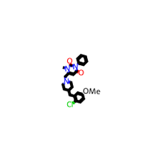 COc1ccc(Cl)c(CC2CCN(Cc3cc(=O)n(-c4ccccc4)c(=O)n3C)CC2)c1